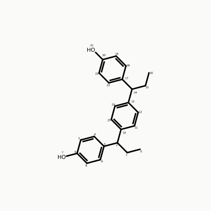 CCC(c1ccc(O)cc1)c1ccc(C(CC)c2ccc(O)cc2)cc1